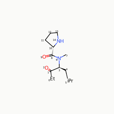 CCC(=O)[C@H](CC(C)C)N(C)C(=O)[C@@H]1CCCN1